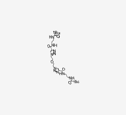 CC(C)(C)C(=O)NCCNC(=O)c1cn(CCOCCn2cc(C(=O)NCCNC(=O)C(C)(C)C)nn2)nn1